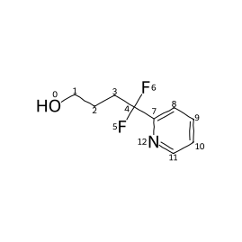 OCCCC(F)(F)c1ccccn1